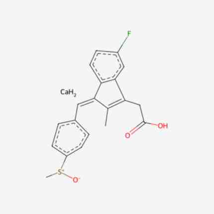 CC1=C(CC(=O)O)c2cc(F)ccc2C1=Cc1ccc([S+](C)[O-])cc1.[CaH2]